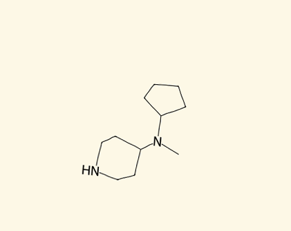 CN(C1CCCC1)C1CCNCC1